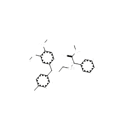 CNC(=O)[C@H](NCC[C@H](c1ccc(C)cc1)c1ccc(OC)c(OC)c1)c1ccccc1